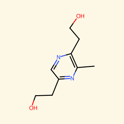 Cc1nc(CCO)cnc1CCO